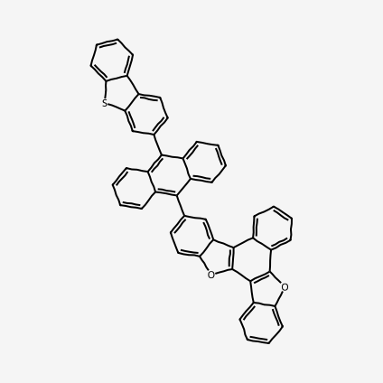 c1ccc2c(c1)oc1c3ccccc3c3c4cc(-c5c6ccccc6c(-c6ccc7c(c6)sc6ccccc67)c6ccccc56)ccc4oc3c21